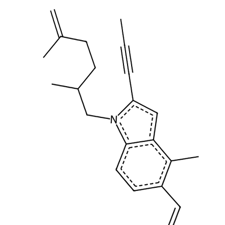 C=Cc1ccc2c(cc(C#CC)n2CC(C)CCC(=C)C)c1C